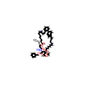 CCCCCCCCCCC[C@@H](CC(=O)N[C@H]1[C@H](OCc2ccccc2)O[C@@H]2COC(C)(C)O[C@H]2[C@@H]1OC(=O)CCCCC/C=C\CCc1ccccc1)OC(=O)CCCCC/C=C\CCc1ccccc1